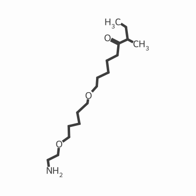 CCC(C)C(=O)CCCCCOCCCCCOCCN